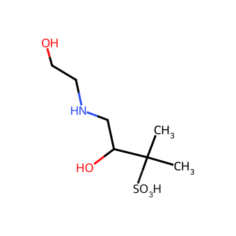 CC(C)(C(O)CNCCO)S(=O)(=O)O